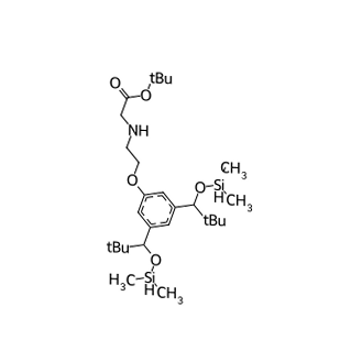 C[SiH](C)OC(c1cc(OCCNCC(=O)OC(C)(C)C)cc(C(O[SiH](C)C)C(C)(C)C)c1)C(C)(C)C